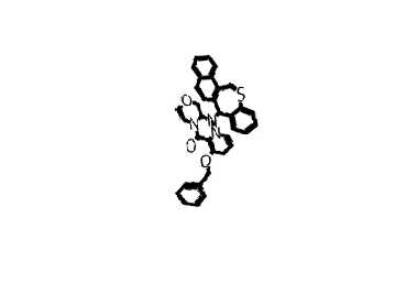 O=C1C2=C(OCc3ccccc3)CC=CN2N(C2c3ccccc3SCc3c2ccc2ccccc32)C2COCCN12